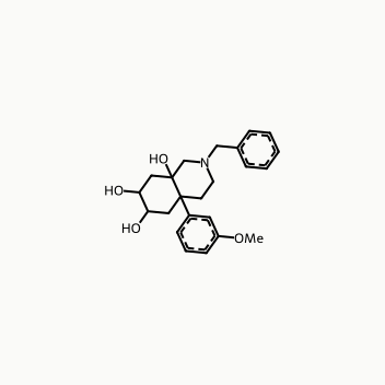 COc1cccc(C23CCN(Cc4ccccc4)CC2(O)CC(O)C(O)C3)c1